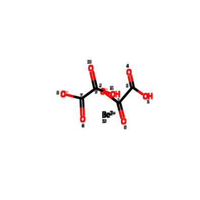 O=C([O-])C(=O)O.O=C([O-])C(=O)O.[Be+2]